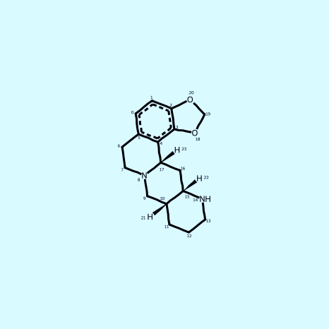 c1cc2c(c3c1CCN1C[C@H]4CCCN[C@H]4C[C@@H]31)OCO2